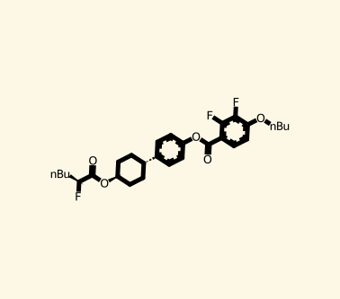 CCCCOc1ccc(C(=O)Oc2ccc([C@H]3CC[C@H](OC(=O)[C@@H](F)CCCC)CC3)cc2)c(F)c1F